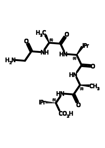 CC(C)[C@H](NC(=O)[C@H](C)NC(=O)[C@@H](NC(=O)[C@H](C)NC(=O)CN)C(C)C)C(=O)O